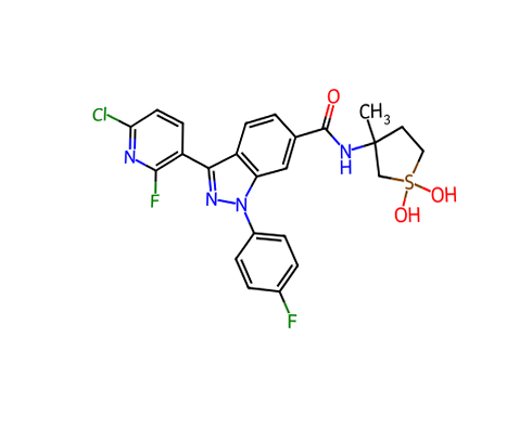 CC1(NC(=O)c2ccc3c(-c4ccc(Cl)nc4F)nn(-c4ccc(F)cc4)c3c2)CCS(O)(O)C1